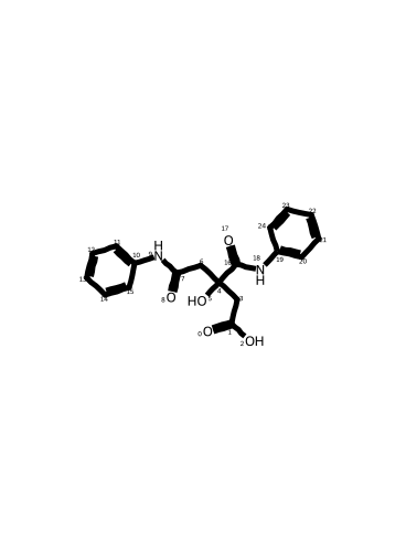 O=C(O)CC(O)(CC(=O)Nc1ccccc1)C(=O)Nc1ccccc1